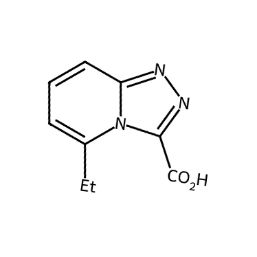 CCc1cccc2nnc(C(=O)O)n12